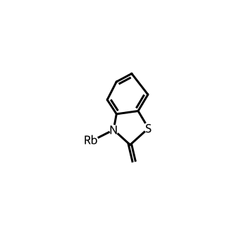 C=C1Sc2ccccc2[N]1[Rb]